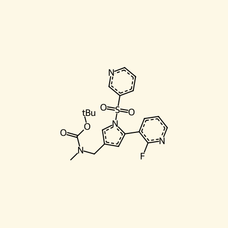 CN(Cc1cc(-c2cccnc2F)n(S(=O)(=O)c2cccnc2)c1)C(=O)OC(C)(C)C